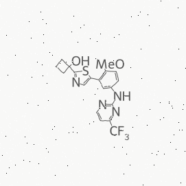 COc1ccc(Nc2nccc(C(F)(F)F)n2)cc1-c1cnc(C2(O)CCC2)s1